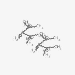 CCCCCCCCC(CCCCCC)(CCCCCCN(CCCCCCC(CCCCCC)(CCCCCCCC)C(=O)O)Cc1ccc(N)cc1)C(=O)O.CCCCCCCCC(CCCCCC)(CCCCCCN(CCCCCCC(CCCCCC)(CCCCCCCC)C(=O)O)Cc1ccc(N)cc1)C(=O)O